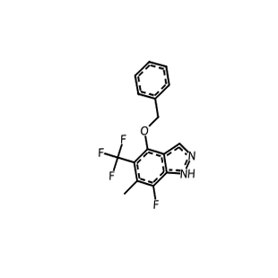 Cc1c(C(F)(F)F)c(OCc2ccccc2)c2cn[nH]c2c1F